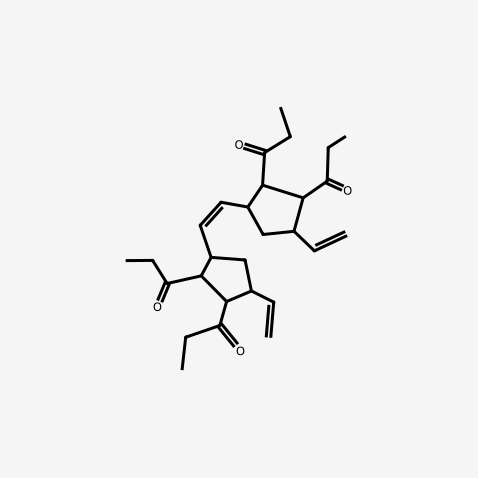 C=CC1CC(/C=C\C2CC(C=C)C(C(=O)CC)C2C(=O)CC)C(C(=O)CC)C1C(=O)CC